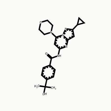 CC(C)(O)c1ccc(C(=O)Nc2cc(N3CCOCC3)n3nc(C4CC4)cc3n2)cc1